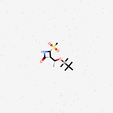 C[C@@H](O[Si](C)(C)C(C)(C)C)[C@@H]1C(=O)N[C@@H]1S(C)(=O)=O